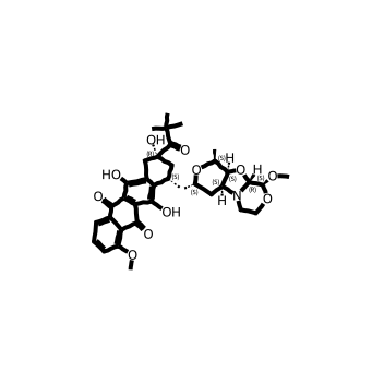 COc1cccc2c1C(=O)c1c(O)c3c(c(O)c1C2=O)C[C@@](O)(C(=O)C(C)(C)C)C[C@@H]3C[C@H]1C[C@H]2[C@H](O[C@@H]3[C@@H](OC)OCCN32)[C@H](C)O1